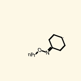 CCCON=C1CC[CH]CC1